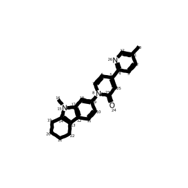 Cc1ccc(-c2ccn(-c3ccc4c5c(n(C)c4c3)CCCC5)c(=O)c2)nc1